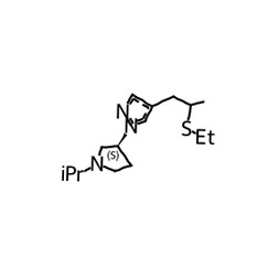 CCSC(C)Cc1cnn([C@H]2CCN(C(C)C)C2)c1